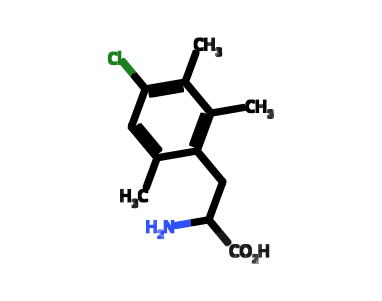 Cc1cc(Cl)c(C)c(C)c1CC(N)C(=O)O